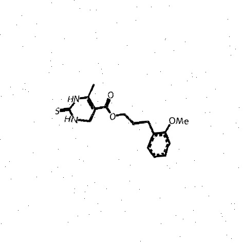 COc1ccccc1CCCOC(=O)C1=C(C)NC(=S)NC1